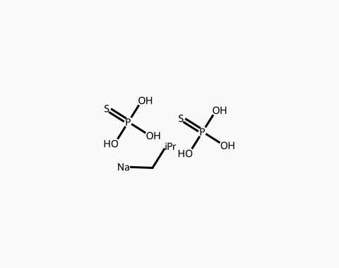 CC(C)[CH2][Na].OP(O)(O)=S.OP(O)(O)=S